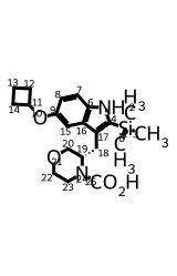 C[Si](C)(C)c1[nH]c2ccc(OC3CCC3)cc2c1C[C@H]1COCCN1C(=O)O